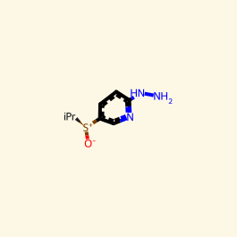 CC(C)[S@+]([O-])c1ccc(NN)nc1